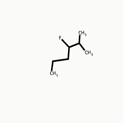 CCC[C](F)C(C)C